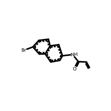 C=CC(=O)Nc1ccc2cc(Br)ccc2c1